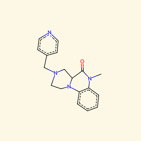 CN1C(=O)C2CN(Cc3ccncc3)CCN2c2ccccc21